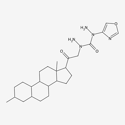 CC1CCC2C(CCC3C2CCC2(C)C(C(=O)CN(N)C(=O)N(N)c4cocn4)CCC32)C1